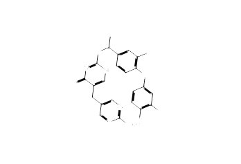 COc1ncc(Cc2c[nH]c(OC(C)c3ccc(Oc4ccc(Cl)c(C(F)(F)F)c4)c(F)c3)nc2=O)cn1